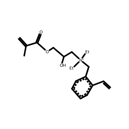 C=Cc1ccccc1C[N+](CC)(CC)CC(O)COC(=O)C(=C)C